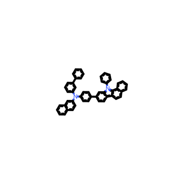 c1ccc(-c2cccc(N(c3ccc(-c4ccc5c6ccc7ccccc7c6n(-c6ccccc6)c5c4)cc3)c3ccc4ccccc4c3)c2)cc1